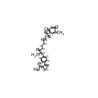 Cc1cc(S(=O)(=O)CNCCCCC(=O)N(C)Cc2ccc(C3=NCCN3C(=O)O)cc2)c(Cl)cc1Cl